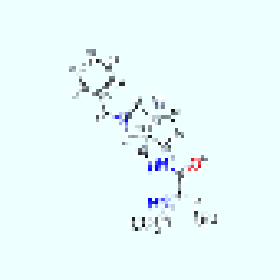 CC(C)(C)C[C@H](NC(=O)O)C(=O)N[C@H]1CC[C@@H]2CN(Cc3ccccc3)C[C@@H]21